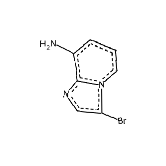 Nc1cccn2c(Br)cnc12